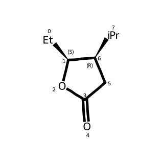 CC[C@@H]1OC(=O)C[C@@H]1C(C)C